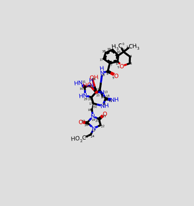 CC1(C)CCOc2c(C(=O)NC3CN4C(=N)N[C@@H](CN5C(=O)CN(CC(=O)O)C5=O)C5NC(=N)NC54C3(O)O)cccc21